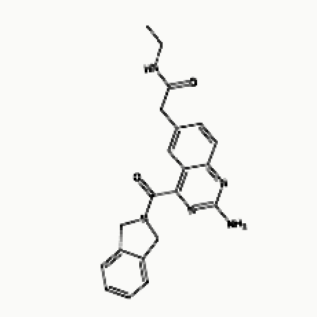 CCNC(=O)Cc1ccc2nc(N)nc(C(=O)N3Cc4ccccc4C3)c2c1